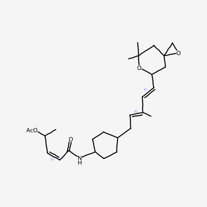 CC(=O)OC(C)/C=C\C(=O)NC1CCC(C/C=C(C)/C=C/C2CC3(CO3)CC(C)(C)O2)CC1